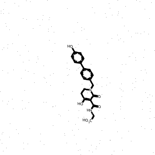 O=C(O)CNC(=O)C1=C(O)CCN(Cc2ccc(-c3ccc(O)cc3)cc2)C1=O